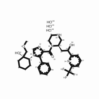 COC[C@]1(O)CCCC[C@H]1n1cnc(C(=O)N2CCNC[C@H]2CC(O)c2cccc(C(F)(F)F)n2)c1-c1ccccc1.Cl.Cl.Cl